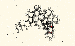 Cc1ccccc1-c1ccc2c(c1)c1ccccc1n2-c1ccc(-c2nc(-c3ccccc3)nc(-c3ccccc3)n2)cc1-c1ccc(C#N)cc1-n1c2ccccc2c2cc(-c3ccccc3C)ccc21